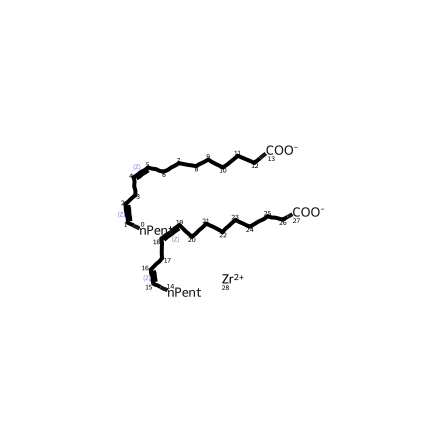 CCCCC/C=C\C/C=C\CCCCCCCC(=O)[O-].CCCCC/C=C\C/C=C\CCCCCCCC(=O)[O-].[Zr+2]